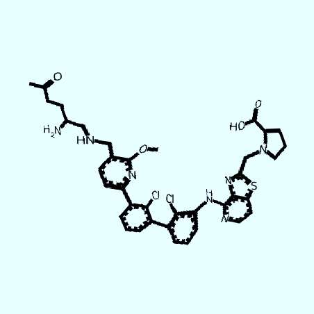 COc1nc(-c2cccc(-c3cccc(Nc4nccc5sc(CN6CCCC6C(=O)O)nc45)c3Cl)c2Cl)ccc1CNCC(N)CCC(C)=O